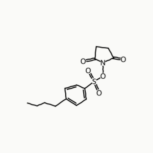 CCCCc1ccc(S(=O)(=O)ON2C(=O)CCC2=O)cc1